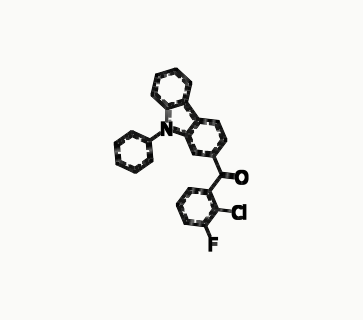 O=C(c1ccc2c3ccccc3n(-c3ccccc3)c2c1)c1cccc(F)c1Cl